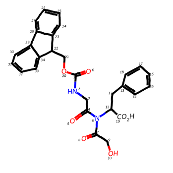 O=C(NCC(=O)N(C(=O)CO)C(Cc1ccccc1)C(=O)O)OCC1c2ccccc2-c2ccccc21